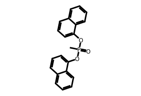 CP(=O)(Oc1cccc2ccccc12)Oc1cccc2ccccc12